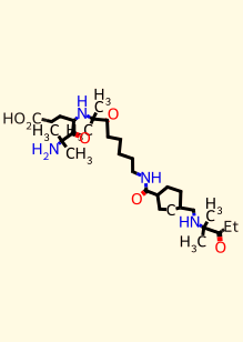 CCC(=O)C(C)(C)NCC1CCC(C(=O)NCCCCCC(=O)C(C)(C)NC(CCC(=O)O)C(=O)C(C)(C)N)CC1